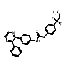 CCC(F)(F)c1ccc(CC(=O)Nc2ccc(-c3nccnc3-c3ccccc3)cc2)cc1